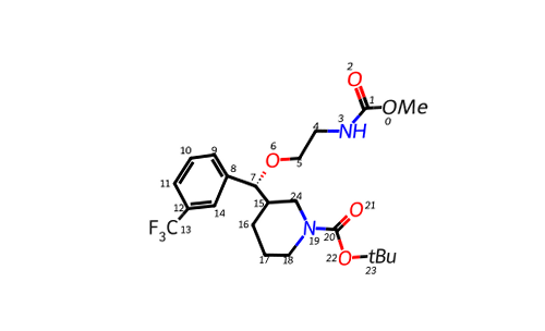 COC(=O)NCCO[C@@H](c1cccc(C(F)(F)F)c1)C1CCCN(C(=O)OC(C)(C)C)C1